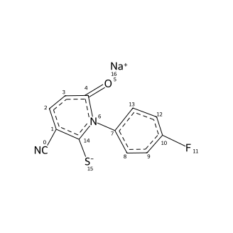 N#Cc1ccc(=O)n(-c2ccc(F)cc2)c1[S-].[Na+]